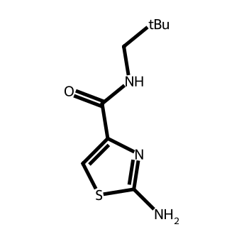 CC(C)(C)CNC(=O)c1csc(N)n1